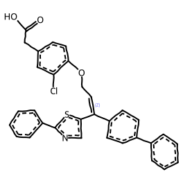 O=C(O)Cc1ccc(OC/C=C(/c2ccc(-c3ccccc3)cc2)c2cnc(-c3ccccc3)s2)c(Cl)c1